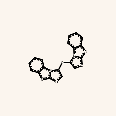 c1ccc2c(c1)nc1occ(Oc3coc4nc5ccccc5n34)n12